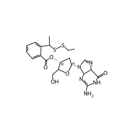 CCSSC(C)c1ccccc1C(=O)O[C@@H]1C[C@H](N2C=NC3C(=O)NC(N)=NC32)OC1CO